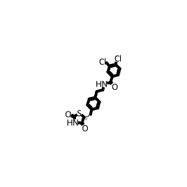 O=C1NC(=O)[C@@H](Cc2ccc(CCNC(=O)c3ccc(Cl)c(Cl)c3)cc2)S1